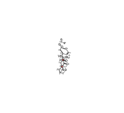 CC(C)(C)NC(=O)CN1C2CC1CN(CC(=O)Nc1cccc(OC(F)F)c1)C2